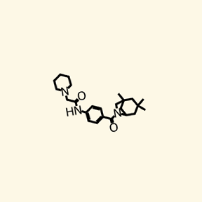 CC1(C)CC2CC(C)(CN2C(=O)c2ccc(NC(=O)CN3CCCCC3)cc2)C1